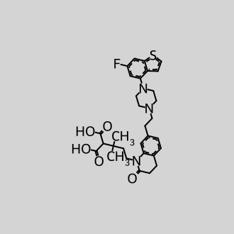 CC(C)(CCN1C(=O)CCc2ccc(CCN3CCN(c4cc(F)cc5sccc45)CC3)cc21)C(C(=O)O)C(=O)O